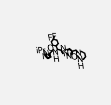 CC(C)n1nccc1C(=O)N[C@H](c1cn2ncc(CN3CCCCNC3=O)cc2n1)C1CCC(F)(F)CC1